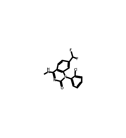 CNc1nc(=O)n(-c2ccccc2Cl)c2cc(C(F)F)ccc12